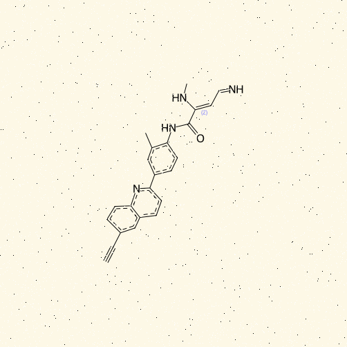 C#Cc1ccc2nc(-c3ccc(NC(=O)/C(=C/C=N)NC)c(C)c3)ccc2c1